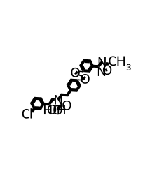 Cc1nc(-c2cccc(S(=O)(=O)c3ccc(CCN(CC(O)c4cccc(Cl)c4)C(=O)O)cc3)c2)no1